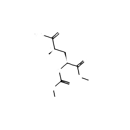 CNC(=O)[C@H](O)C[C@H](NC(=O)OC(C)(C)C)C(=O)OC(C)(C)C